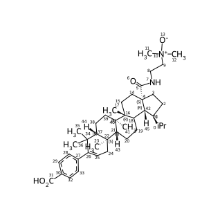 CC(C)[C@@H]1CC[C@]2(C(=O)NCC[N+](C)(C)[O-])CC[C@]3(C)C(CC[C@@H]4[C@@]5(C)CC=C(c6ccc(C(=O)O)cc6)C(C)(C)[C@@H]5CC[C@]43C)[C@@H]12